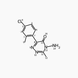 Cc1cc(Cl)ccc1-c1nnc(C)n(N)c1=O